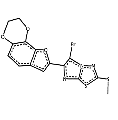 CSc1nn2c(Br)c(-c3cc4ccc5c(c4o3)OCCO5)nc2s1